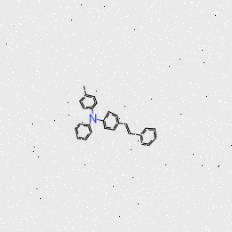 Cc1ccc(N(c2ccccc2)c2ccc(C=Cc3ccccc3)cc2)cc1